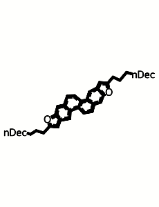 CCCCCCCCCCCCCc1cc2cc3c(ccc4c5cc6cc(CCCCCCCCCCCCC)oc6cc5ccc34)cc2o1